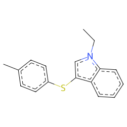 CCn1cc(Sc2ccc(C)cc2)c2ccccc21